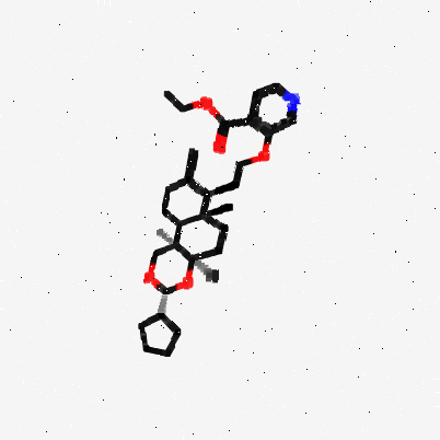 C=C1CCC2[C@]3(C)CO[C@@H](C4CCCC4)O[C@@H]3CC[C@@]2(C)[C@@H]1CCOc1cnccc1C(=O)OCC